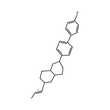 C/C=C/C1CCC2CC(c3ccc(-c4ccc(F)cc4)cc3)CCC2C1